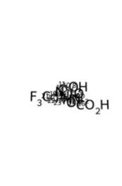 CC(C)(NC(=O)c1c(O)c2cccnc2n(Cc2ccc(C(F)(F)F)cc2)c1=O)C(=O)O